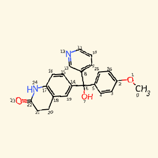 COc1ccc(C(O)(c2cccnc2)c2ccc3c(c2)CCC(=O)N3)cc1